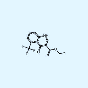 C=C(OCC)c1c[nH]c2cccc(C(F)(F)F)c2c1=O